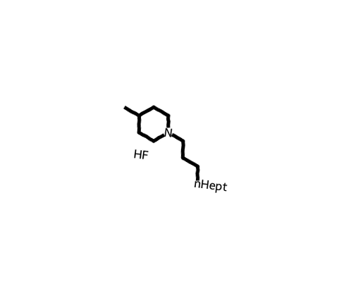 CCCCCCCCCCN1CCC(C)CC1.F